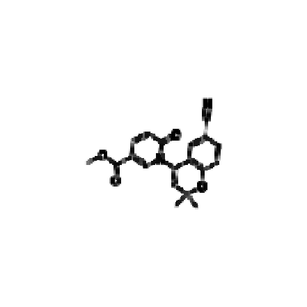 COC(=O)c1ccc(=O)n(C2=CC(C)(C)Oc3ccc(C#N)cc32)c1